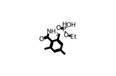 CCO[PH](=O)O.Cc1cc(C)c(C(N)=O)c(C)c1